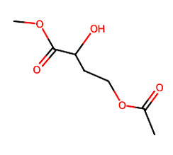 COC(=O)C(O)CCOC(C)=O